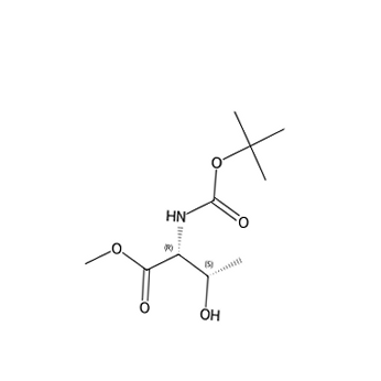 COC(=O)[C@H](NC(=O)OC(C)(C)C)[C@H](C)O